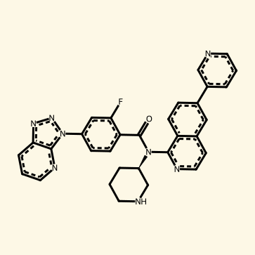 O=C(c1ccc(-n2nnc3cccnc32)cc1F)N(c1nccc2cc(-c3cccnc3)ccc12)[C@@H]1CCCNC1